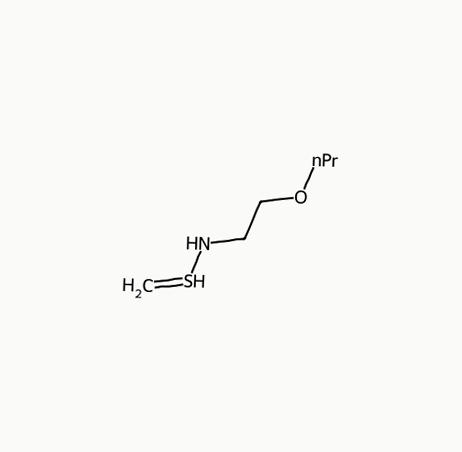 C=[SH]NCCOCCC